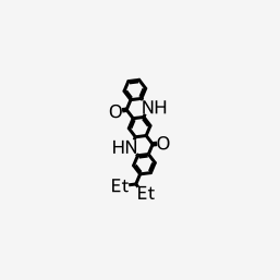 CCC(CC)c1ccc2c(c1)NC1C=c3c([nH]c4ccccc4c3=O)=CC1C2=O